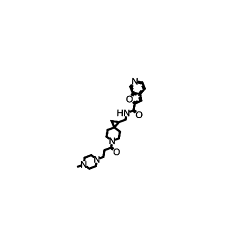 CN1CCN(CCC(=O)N2CCC3(CC2)CC3CNC(=O)c2cc3ccncc3o2)CC1